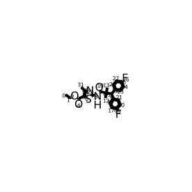 CCOC(=O)c1sc(NC(=O)C(C)(C)C(c2ccc(F)cc2)c2ccc(F)cc2)nc1C